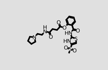 CS(=O)(=O)C1=CSC(NC(=O)c2ccccc2OC(=O)CCC(=O)NCCN2CCCC2)N1